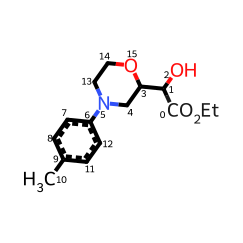 CCOC(=O)C(O)C1CN(c2ccc(C)cc2)CCO1